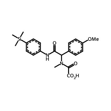 COc1ccc(C(C(=O)Nc2ccc([Si](C)(C)C)cc2)N(C)C(=O)C(=O)O)cc1